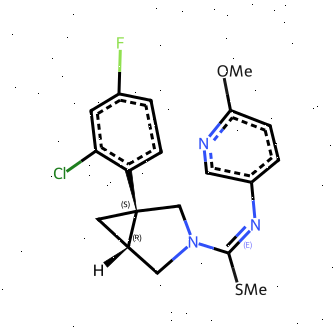 COc1ccc(/N=C(/SC)N2C[C@@H]3C[C@]3(c3ccc(F)cc3Cl)C2)cn1